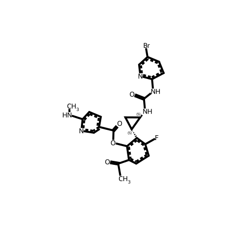 CNc1ccc(C(=O)Oc2c(C(C)=O)ccc(F)c2[C@@H]2C[C@@H]2NC(=O)Nc2ccc(Br)cn2)cn1